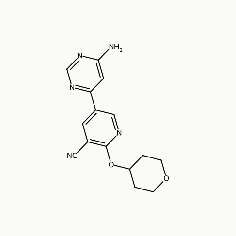 N#Cc1cc(-c2cc(N)ncn2)cnc1OC1CCOCC1